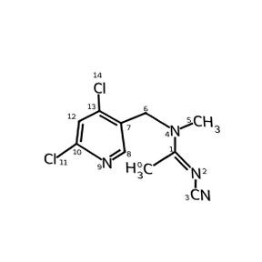 C/C(=N\C#N)N(C)Cc1cnc(Cl)cc1Cl